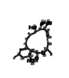 CC1C=C2CCCC(O)C(O)C(O)C#CCC(C)OC(=O)C2=C(O)C1